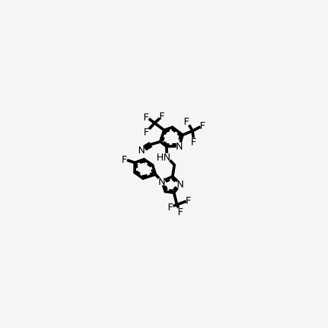 N#Cc1c(C(F)(F)F)cc(C(F)(F)F)nc1NCc1nc(C(F)(F)F)cn1-c1ccc(F)cc1